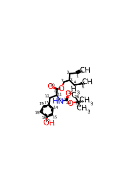 C#CCC(CC#C)COC(=O)C(Cc1ccc(O)cc1)NC(=O)OC(C)(C)C